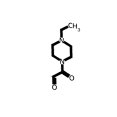 CCN1CCN(C(=O)[C]=O)CC1